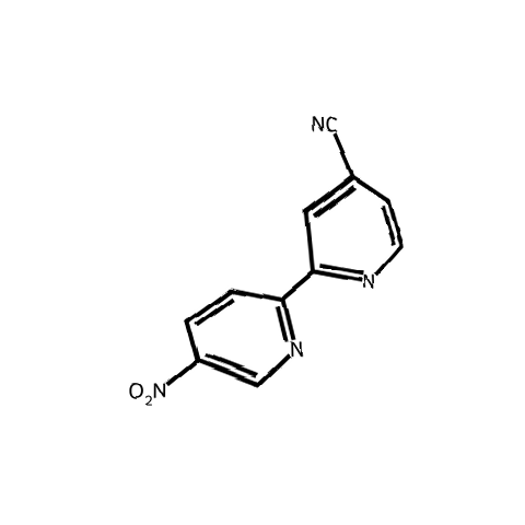 N#Cc1ccnc(-c2ccc([N+](=O)[O-])cn2)c1